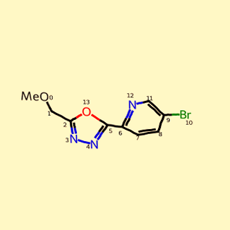 COCc1nnc(-c2ccc(Br)cn2)o1